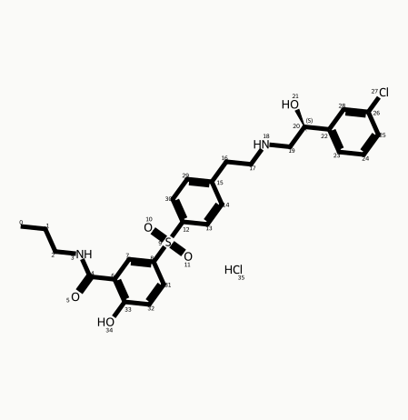 CCCNC(=O)c1cc(S(=O)(=O)c2ccc(CCNC[C@@H](O)c3cccc(Cl)c3)cc2)ccc1O.Cl